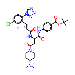 CN(C)C1CCN(C(=O)CC(NC(=O)/C=C/c2c(-n3cnnn3)ccc(Cl)c2F)C(=O)Nc2ccc(C(=O)OC(C)(C)C)cc2)CC1